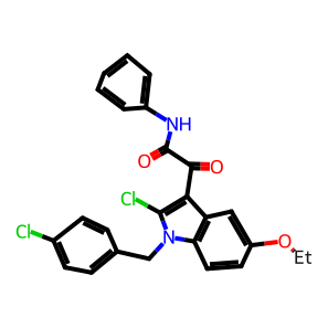 CCOc1ccc2c(c1)c(C(=O)C(=O)Nc1ccccc1)c(Cl)n2Cc1ccc(Cl)cc1